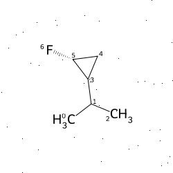 CC(C)C1C[C@H]1F